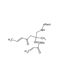 C=CC(=O)OC.CC=CC(=O)CC(C)(O)CNCCCCC